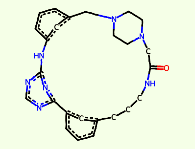 O=C1CN2CCN(CC2)Cc2cccc(c2)Nc2ncnc(n2)-c2cccc(c2)CCCN1